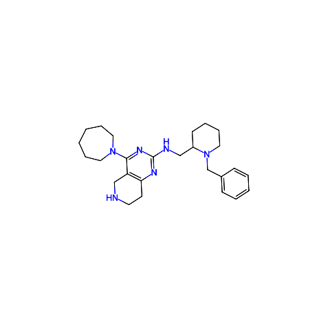 c1ccc(CN2CCCCC2CNc2nc3c(c(N4CCCCCC4)n2)CNCC3)cc1